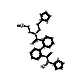 CN(C(=O)c1ccccc1-c1ccccc1C(=O)N(CCC(=O)O)CCc1cccs1)c1cccs1